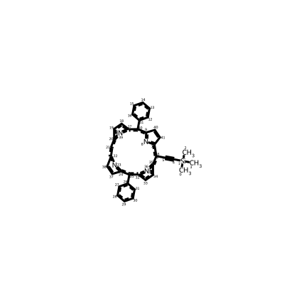 C[Si](C)(C)C#Cc1c2nc(c(-c3ccccc3)c3ccc(cc4nc(c(-c5ccccc5)c5ccc1[nH]5)C=C4)[nH]3)C=C2